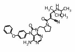 CC(C)NC(C)(C)C=C(C#N)C(=O)N1CCCC1Cn1c(=O)n(-c2ccc(Oc3ccccc3)cc2)c2c(N)ncnc21